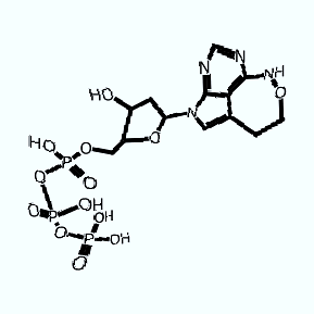 O=P(O)(O)OP(=O)(O)OP(=O)(O)OCC1OC(n2cc3c4c(ncnc42)NOCC3)CC1O